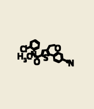 CN(C(=O)c1cc2c(s1)-c1ccc(C#N)cc1OCC2)c1ccccc1Cl